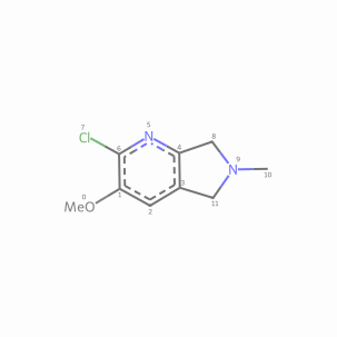 COc1cc2c(nc1Cl)CN(C)C2